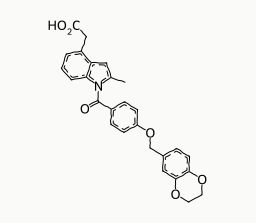 Cc1cc2c(CC(=O)O)cccc2n1C(=O)c1ccc(OCc2ccc3c(c2)OCCO3)cc1